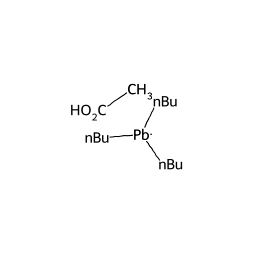 CC(=O)O.CCC[CH2][Pb]([CH2]CCC)[CH2]CCC